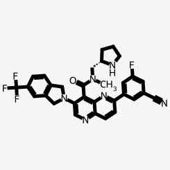 CN(C[C@@H]1CCCN1)C(=O)c1c(N2Cc3ccc(C(F)(F)F)cc3C2)cnc2ccc(-c3cc(F)cc(C#N)c3)nc12